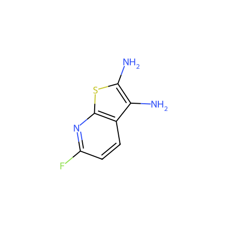 Nc1sc2nc(F)ccc2c1N